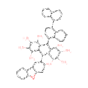 Bc1c(B)c(B)c2c(-c3ccc(-c4cccc5ccccc45)c4ccccc34)c3c(B)c(B)c(B)c(B)c3c(-c3ccc4oc5ccccc5c4c3)c2c1B